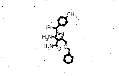 Cc1ccc(C(C(C)C)n2nc(COCc3ccccc3)c(C(N)=O)c2N)cc1